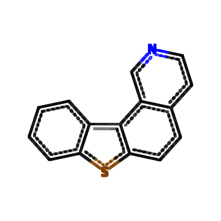 c1ccc2c(c1)sc1ccc3ccncc3c12